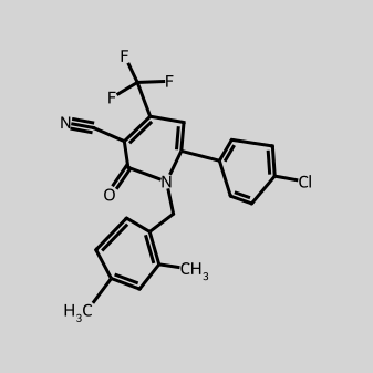 Cc1ccc(Cn2c(-c3ccc(Cl)cc3)cc(C(F)(F)F)c(C#N)c2=O)c(C)c1